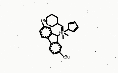 CC(C)(C)c1ccc2c(c1)[CH]([Hf]([CH3])([CH3])(=[CH]C1CCCCC1)[CH]1C=CC=C1)c1cc(C(C)(C)C)ccc1-2